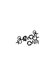 CC(=O)N1c2ccc(N3CC4CCC3CN4C(=O)OC(C)(C)C)cc2C(Nc2ccccc2)C(C)C1C